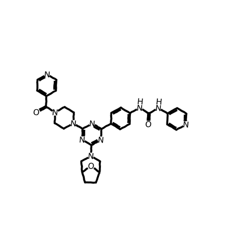 O=C(Nc1ccncc1)Nc1ccc(-c2nc(N3CCN(C(=O)c4ccncc4)CC3)nc(N3CC4CCC(C3)O4)n2)cc1